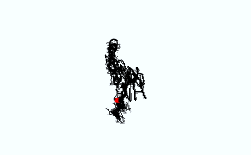 COc1cc(C(=O)NC23CC(C4CC4)(C2)C3)c(NC(=O)c2c(OC)ccc3nc(N4C5COCC4C5)sc23)cn1